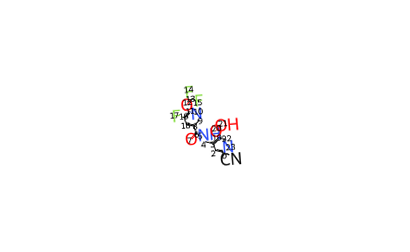 N#Cc1cc(CNC(=O)c2cnc(OC(F)F)c(F)c2)c(OO)cn1